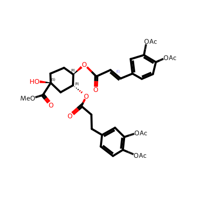 COC(=O)[C@]1(O)CC[C@@H](OC(=O)/C=C/c2ccc(OC(C)=O)c(OC(C)=O)c2)[C@H](OC(=O)CCc2ccc(OC(C)=O)c(OC(C)=O)c2)C1